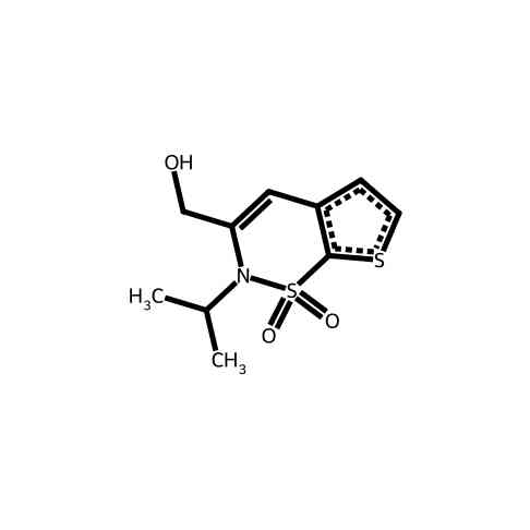 CC(C)N1C(CO)=Cc2ccsc2S1(=O)=O